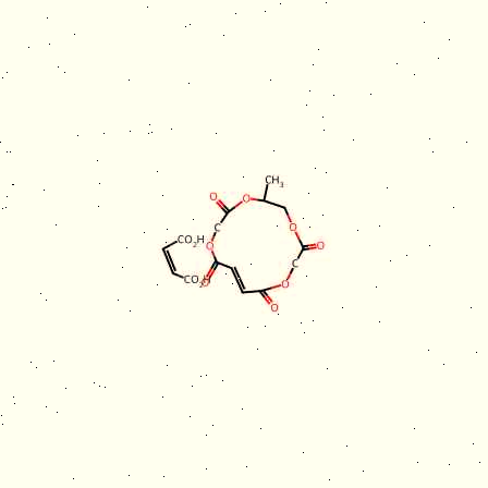 CC1COC(=O)COC(=O)/C=C/C(=O)OCC(=O)O1.O=C(O)/C=C\C(=O)O